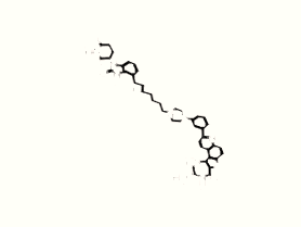 C[C@@H]1CNc2c(sc3ccc4nc(-c5cccc(N6CCN(CCCCCCCc7cccc8c7n(C)c(=O)n8C7CCC(=O)NC7=O)CC6)c5)ccc4c23)C(=O)N1